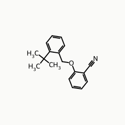 CC(C)(C)c1ccccc1COc1ccccc1C#N